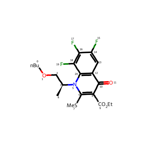 CCCCOC[C@H](C)n1c(SC)c(C(=O)OCC)c(=O)c2cc(F)c(F)c(F)c21